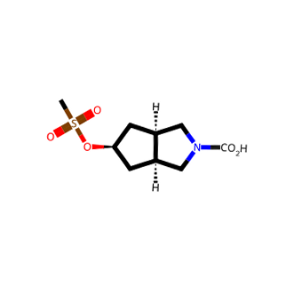 CS(=O)(=O)O[C@@H]1C[C@@H]2CN(C(=O)O)C[C@@H]2C1